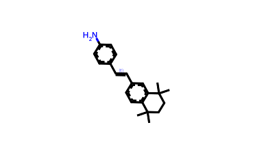 CC1(C)CCC(C)(C)c2cc(/C=C/c3ccc(N)cc3)ccc21